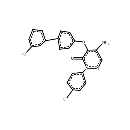 Nc1cnn(-c2ccc(Cl)cc2)c(=O)c1Oc1ccc(-c2cccc(O)c2)cc1